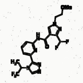 COCCn1cc(C(=O)Nc2cccc(-c3nncn3C(C)C(F)(F)F)n2)c(C(F)F)n1